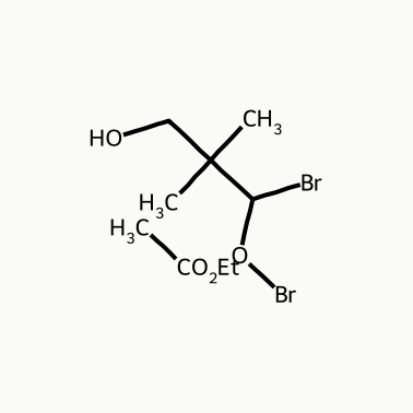 CC(C)(CO)C(Br)OBr.CCOC(C)=O